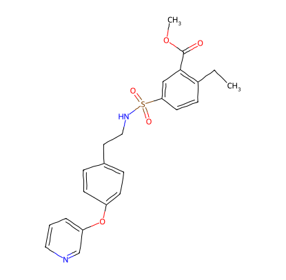 CCc1ccc(S(=O)(=O)NCCc2ccc(Oc3cccnc3)cc2)cc1C(=O)OC